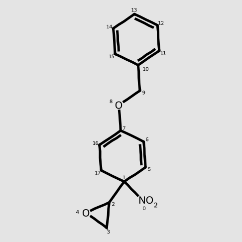 O=[N+]([O-])C1(C2CO2)C=CC(OCc2ccccc2)=CC1